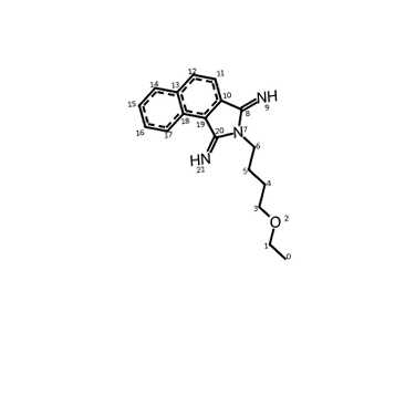 CCOCCCCN1C(=N)c2ccc3ccccc3c2C1=N